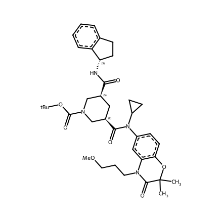 COCCCN1C(=O)C(C)(C)Oc2ccc(N(C(=O)[C@@H]3C[C@H](C(=O)N[C@H]4CCc5ccccc54)CN(C(=O)OC(C)(C)C)C3)C3CC3)cc21